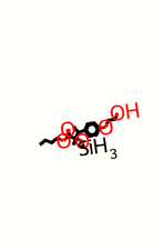 CCCCOC(=O)C(C)(O[SiH3])C(C)c1ccc(OCCO)cc1